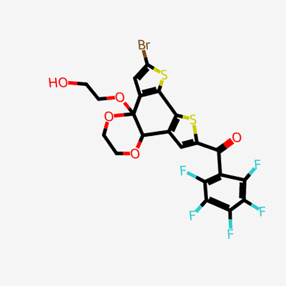 O=C(c1cc2c(s1)-c1sc(Br)cc1C1(OCCO)OCCOC21)c1c(F)c(F)c(F)c(F)c1F